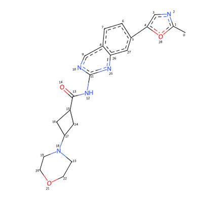 Cc1ncc(-c2ccc3cnc(NC(=O)C4CC(N5CCOCC5)C4)nc3c2)o1